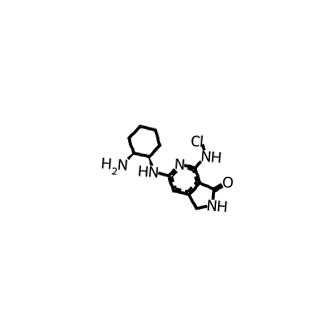 N[C@H]1CCCC[C@H]1Nc1cc2c(c(NCl)n1)C(=O)NC2